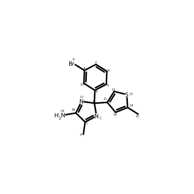 CC1=NC(c2cccc(Br)c2)(c2csc(C)c2)N=C1N